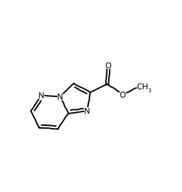 COC(=O)c1cn2ncccc2n1